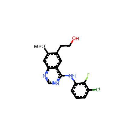 COc1cc2ncnc(Nc3cccc(Cl)c3F)c2cc1CCO